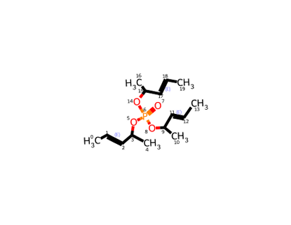 C/C=C/C(C)OP(=O)(OC(C)/C=C/C)OC(C)/C=C/C